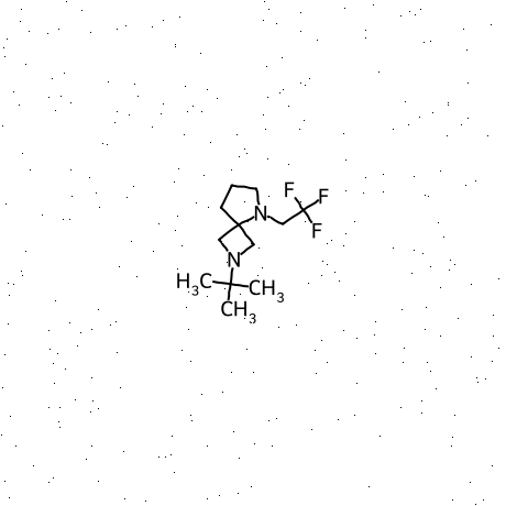 CC(C)(C)N1CC2(CCCN2CC(F)(F)F)C1